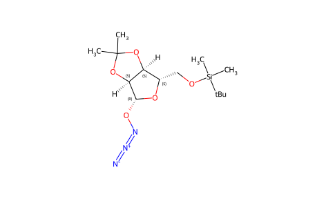 CC1(C)O[C@@H]2[C@@H](ON=[N+]=[N-])O[C@@H](CO[Si](C)(C)C(C)(C)C)[C@@H]2O1